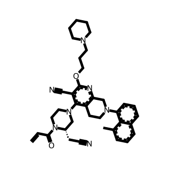 C=CC(=O)N1CCN(c2c(C#N)c(OCCCN3CCCCC3)nc3c2CCN(c2cccc4cccc(C)c24)C3)C[C@@H]1CC#N